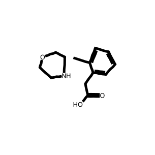 C1COCCN1.Cc1ccccc1CC(=O)O